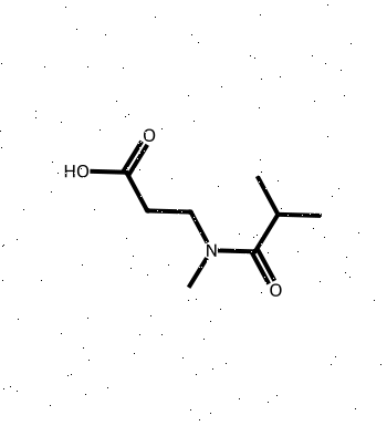 CC(C)C(=O)N(C)CCC(=O)O